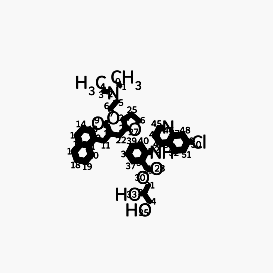 CCN(CC)CCOC(=O)C(Cc1cccc2ccccc12)CC1CCCO1.O=C(OCC(O)CO)c1ccccc1Nc1ccnc2cc(Cl)ccc12